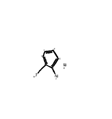 Fc1cccc[c]1[Ni].[Ni]